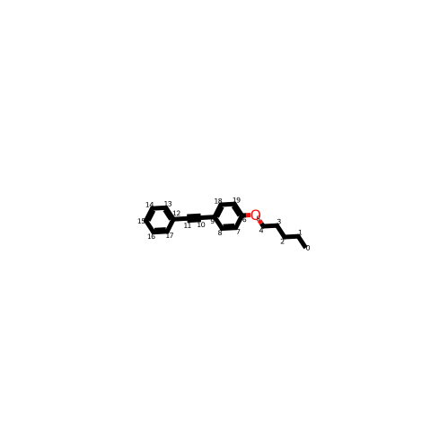 CCCCCOc1ccc(C#Cc2ccccc2)cc1